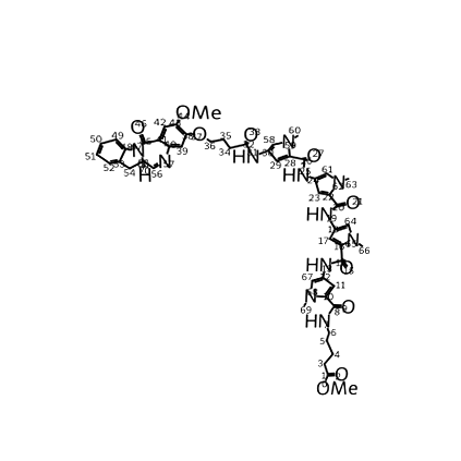 COC(=O)CCCCNC(=O)c1cc(NC(=O)c2cc(NC(=O)c3cc(NC(=O)c4cc(NC(=O)CCCOc5cc6c(cc5OC)C(=O)N5c7ccccc7C[C@H]5C=N6)cn4C)cn3C)cn2C)cn1C